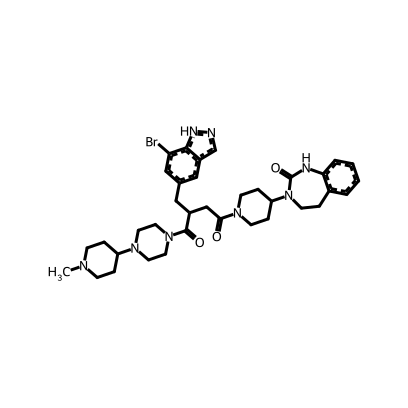 CN1CCC(N2CCN(C(=O)C(CC(=O)N3CCC(N4CCc5ccccc5NC4=O)CC3)Cc3cc(Br)c4[nH]ncc4c3)CC2)CC1